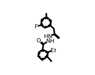 C=C(Cc1cc(C)cc(F)c1)NNC(=O)c1cccc(C)c1CC